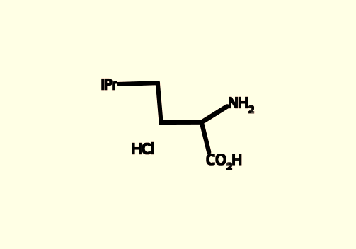 CC(C)CCC(N)C(=O)O.Cl